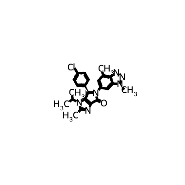 Cc1cc(N2C(=O)c3nc(C)n(C(C)C)c3[C@H]2c2ccc(Cl)cc2)cc2c1nnn2C